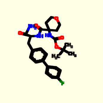 CC(C)(C)OC(=O)NC1(C(=O)NC(Cc2ccc(-c3ccc(F)cc3)cc2)C(N)=O)CCOCC1